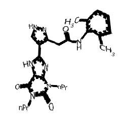 CCCn1c(=O)c2[nH]c(-c3c[nH]nc3CC(=O)Nc3c(C)cccc3C)nc2n(CCC)c1=O